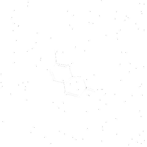 O=c1cnc2ccc(Br)nc2o1